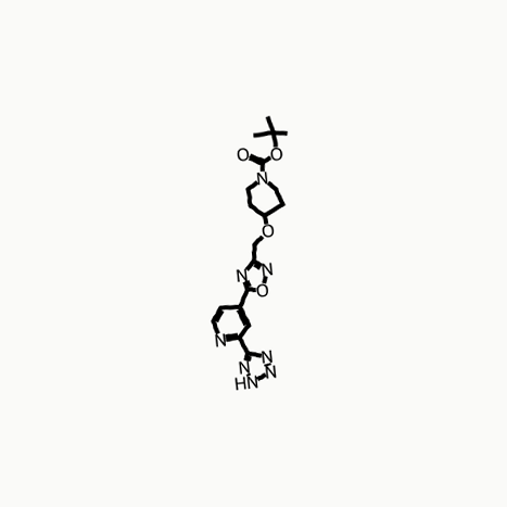 CC(C)(C)OC(=O)N1CCC(OCc2noc(-c3ccnc(-c4nn[nH]n4)c3)n2)CC1